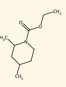 CCOC(=O)N1CCC(C)CC1C